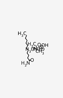 CCCCCCCCCCCC(N)=O.CCN(C)C.O=S(=O)(O)O